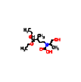 CCO[SiH](OCC)C(C)CCN(C(=O)O)C(C)CO